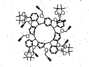 C#CCOc1cc(OCC#C)c2cc1C(c1cccc(B3OC(C)(C)C(C)(C)O3)c1)c1cc(c(OCC#C)cc1OCC#C)C(c1cccc(B3OC(C)(C)C(C)(C)O3)c1)c1cc(c(OCC#C)cc1OCC#C)C(c1cccc(B3OC(C)(C)C(C)(C)O3)c1)c1cc(c(OCC#C)cc1OCC#C)C2c1cccc(B2OC(C)(C)C(C)(C)O2)c1